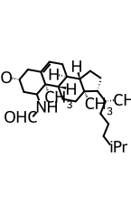 CC(C)CCC[C@@H](C)[C@H]1CC[C@H]2[C@@H]3CC=C4C[C@@H](O)CC(N[C]=O)[C@]4(C)[C@H]3CC[C@]12C